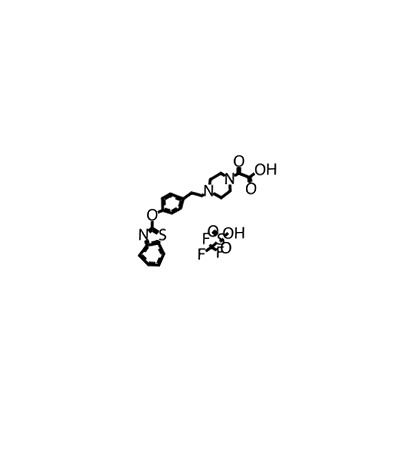 O=C(O)C(=O)N1CCN(CCc2ccc(Oc3nc4ccccc4s3)cc2)CC1.O=S(=O)(O)C(F)(F)F